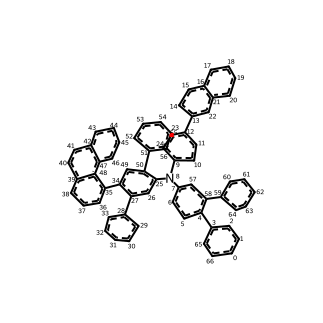 c1ccc(-c2ccc(N(c3ccc(-c4ccc5ccccc5c4)cc3)c3cc(-c4ccccc4)c(-c4cccc5ccc6ccccc6c45)cc3-c3ccccc3)cc2-c2ccccc2)cc1